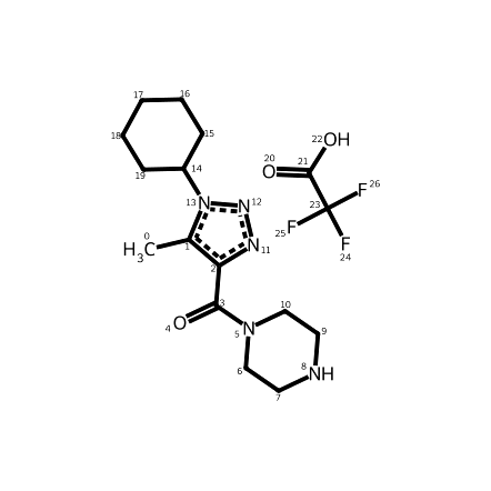 Cc1c(C(=O)N2CCNCC2)nnn1C1CCCCC1.O=C(O)C(F)(F)F